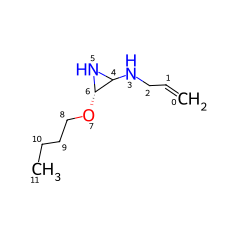 C=CCNC1N[C@H]1OCCCC